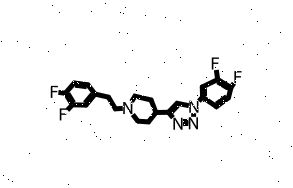 Fc1ccc(CCN2CCC(c3cn(-c4ccc(F)c(F)c4)nn3)CC2)cc1F